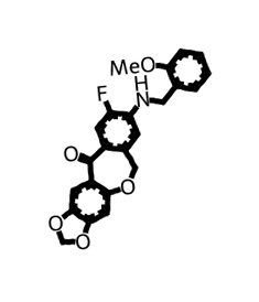 COc1ccccc1CNc1cc2c(cc1F)C(=O)c1cc3c(cc1OC2)OCO3